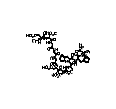 CCNC(CC(=O)O)C(=O)NC(CC(=O)O)C(=O)NCC(=O)NCC(=O)NCC(=O)NC(CC(=O)O)C(=O)NC(CC(=O)O)C(=O)NC(CC(=O)O)C(=O)NC(Cc1ccccc1)C(=O)NC(Cc1ccccc1)C(=O)NC(C(N)=O)C(C)C